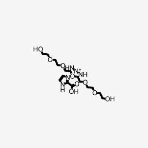 N=[N+]=N.O=C(O)c1ncc[nH]1.OCCOCCOCCOCCOCCOCCO